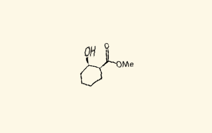 COC(=O)[C@H]1CCCC[C@H]1O